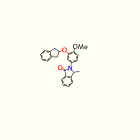 COc1ccc(N2C(=O)c3ccccc3C2C)cc1OC1Cc2ccccc2C1